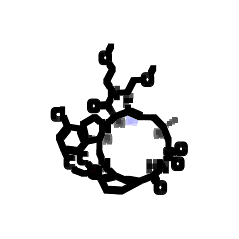 COCCN(CCOC)C(=O)[C@H]1/C(F)=C/C[C@H](C)CS(=O)(=O)NC(=O)c2ccc3c(c2)N2CCCCc4cc(Cl)cc(c4CO3)[C@]3(CCCN13)C2